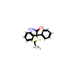 CCSC(C(N)=O)(c1ccccc1)c1ccccc1